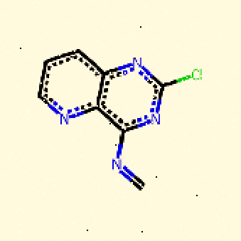 C=Nc1nc(Cl)nc2cccnc12